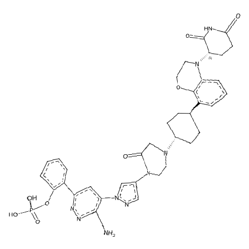 Nc1nnc(-c2ccccc2OP(=O)(O)O)cc1-n1cc(N2CCN([C@H]3CC[C@H](c4cccc5c4OCCN5[C@H]4CCC(=O)NC4=O)CC3)CC2=O)cn1